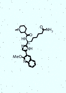 COc1nc2ccccc2cc1-c1cnc([C@H](CCCCCC(N)=O)NC(=O)C2CCCN(C)C2)[nH]1